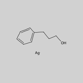 OCCCc1ccccc1.[Ag]